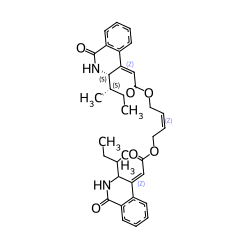 CCC(C)C1NC(=O)c2ccccc2/C1=C/C(=O)OC/C=C\COC(=O)/C=C1/c2ccccc2C(=O)N[C@H]1[C@@H](C)CC